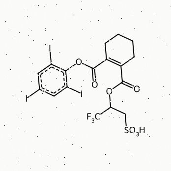 O=C(Oc1c(I)cc(I)cc1I)C1=C(C(=O)OC(CS(=O)(=O)O)C(F)(F)F)CCCC1